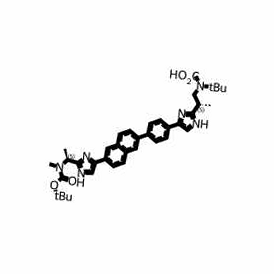 C[C@@H](CN(C(=O)O)C(C)(C)C)c1nc(-c2ccc(-c3ccc4cc(-c5c[nH]c([C@H](C)N(C)C(=O)OC(C)(C)C)n5)ccc4c3)cc2)c[nH]1